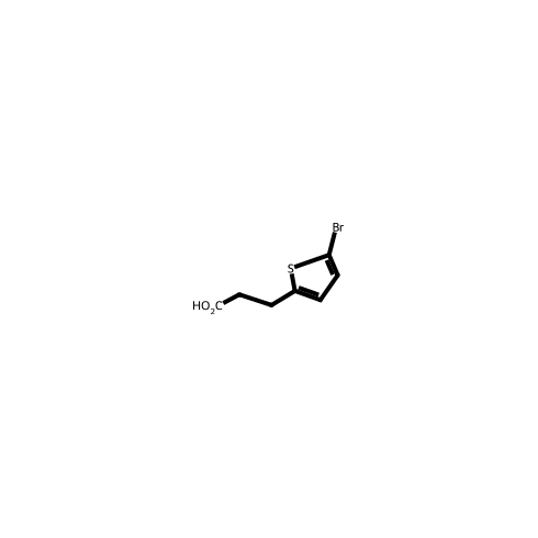 O=C(O)CCc1ccc(Br)s1